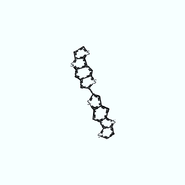 c1cc2sc3cc4cc(-c5cc6cc7sc8ccsc8c7cc6s5)sc4cc3c2s1